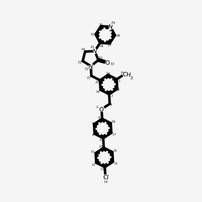 Cc1cc(COc2ccc(-c3ccc(Cl)cc3)cc2)cc(CN2CCN(c3ccncc3)C2=O)c1